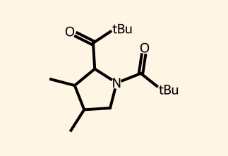 CC1CN(C(=O)C(C)(C)C)C(C(=O)C(C)(C)C)C1C